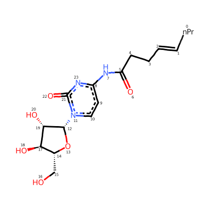 CCC/C=C/CCC(=O)Nc1ccn([C@@H]2O[C@H](CO)[C@@H](O)[C@@H]2O)c(=O)n1